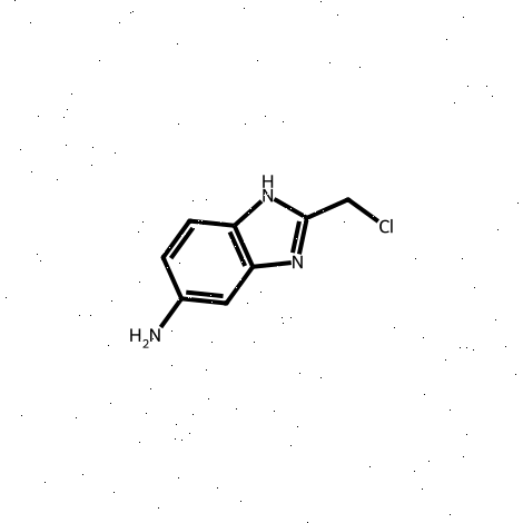 Nc1ccc2[nH]c(CCl)nc2c1